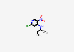 CCC(C)Nc1cc(Br)ncc1[N+](=O)[O-]